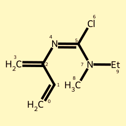 C=CC(=C)/N=C(/Cl)N(C)CC